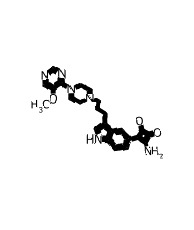 COc1cncnc1N1CCN(CCCc2c[nH]c3ccc(-c4c(N)c(=O)c4=O)cc23)CC1